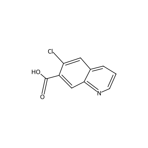 O=C(O)c1cc2ncccc2cc1Cl